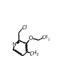 Cc1ccnc(CCl)c1OCC(F)(F)F